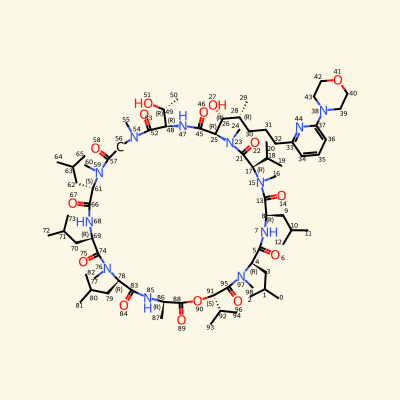 CC(C)C[C@@H]1C(=O)N[C@H](CC(C)C)C(=O)N(C)[C@H](C(C)C)C(=O)N(C)[C@H]([C@H](O)[C@H](C)CCCc2cccc(N3CCOCC3)n2)C(=O)N[C@H]([C@@H](C)O)C(=O)N(C)CC(=O)N(C)[C@@H](CC(C)C)C(=O)N[C@H](CC(C)C)C(=O)N(C)[C@H](CC(C)C)C(=O)N[C@H](C)C(=O)O[C@@H](C(C)C)C(=O)N1C